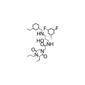 CCCN1C(=O)CN(CC(=O)N[C@@H](Cc2cc(F)cc(F)c2)[C@H](O)CNCc2cccc(CC)c2)C(=O)[C@H]1CC